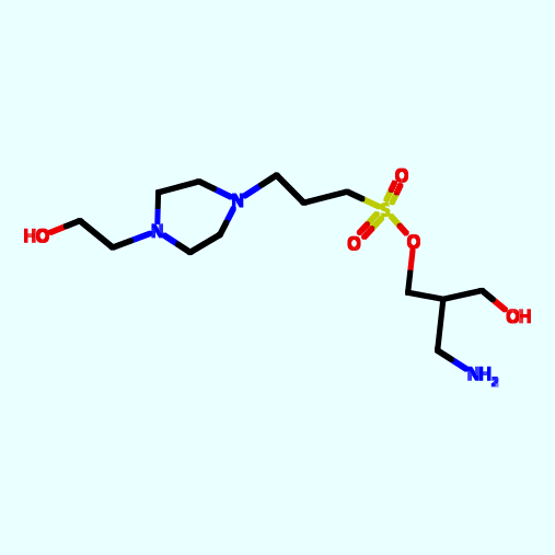 NCC(CO)COS(=O)(=O)CCCN1CCN(CCO)CC1